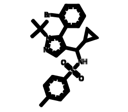 Cc1ccc(S(=O)(=O)NC(c2cnn(C(C)(C)C)c2-c2ccccc2Br)C2CC2)cc1